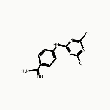 N=C(N)c1ccc(Nc2nc(Cl)nc(Cl)n2)cc1